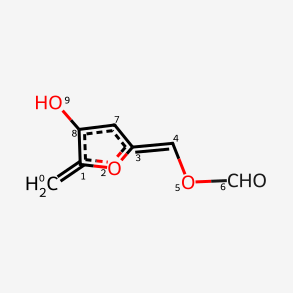 C=c1oc(=COC=O)cc1O